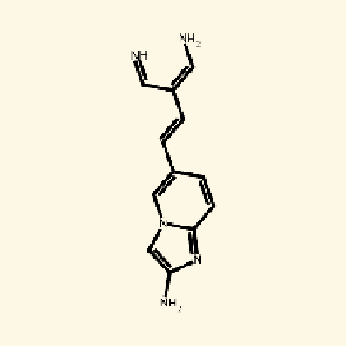 N=CC(=C\N)/C=C/c1ccc2nc(N)cn2c1